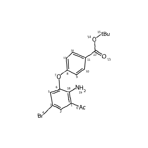 CC(=O)c1cc(Br)cc(Oc2ccc(C(=O)OC(C)(C)C)cc2)c1N